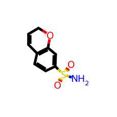 NS(=O)(=O)c1ccc2c(c1)OCC=C2